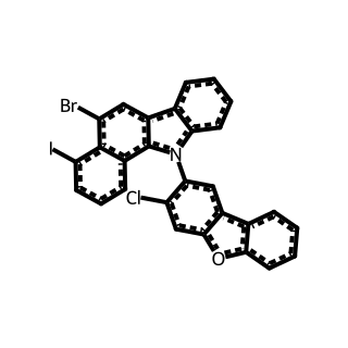 Clc1cc2oc3ccccc3c2cc1-n1c2ccccc2c2cc(Br)c3c(I)cccc3c21